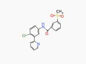 CS(=O)(=O)c1cccc(C(=O)Nc2ccc(Cl)c(-c3ccccn3)c2)c1